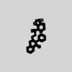 O=c1c(-c2ccccc2)c(CCNc2ncnc3[nH]cnc23)cc2ccccn12